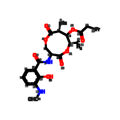 CCCC[C@H]1C(=O)OC[C@H](NC(=O)c2cccc(NC=O)c2O)C(=O)O[C@@H](C)[C@@H]1OC(=O)CC(C)C